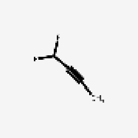 CC#C[C](F)F